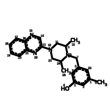 Cc1cc(O)cc(CN2C(C)CN(c3cnc4ccccc4n3)CC2C)c1